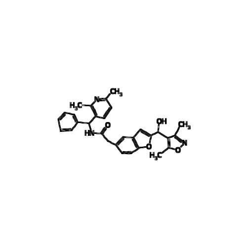 Cc1ccc(C(NC(=O)Cc2ccc3oc(C(O)c4c(C)noc4C)cc3c2)c2ccccc2)c(C)n1